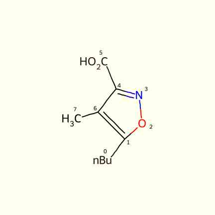 CCCCc1onc(C(=O)O)c1C